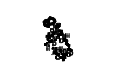 CN[C@@H](C)C(=O)N[C@H](C(=O)N[C@H](C=O)CCCC(=O)N[C@H]1C[C@@H](C(=O)N[C@@H]2CCCc3ccccc32)N(C(=O)[C@@H](NC(=O)[C@H](C)NC)C(C)(C)C)C1)C(C)(C)C